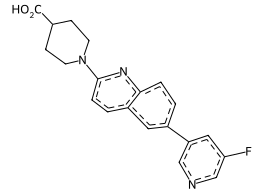 O=C(O)C1CCN(c2ccc3cc(-c4cncc(F)c4)ccc3n2)CC1